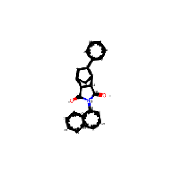 O=C1C2C3CC(c4ccccc4)C(C3)C2C(=O)N1c1cccc2ccccc12